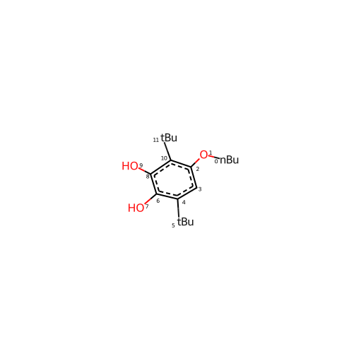 CCCCOc1cc(C(C)(C)C)c(O)c(O)c1C(C)(C)C